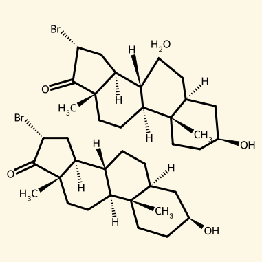 C[C@]12CC[C@H](O)C[C@@H]1CC[C@@H]1[C@@H]2CC[C@]2(C)C(=O)[C@H](Br)C[C@@H]12.C[C@]12CC[C@H](O)C[C@@H]1CC[C@@H]1[C@@H]2CC[C@]2(C)C(=O)[C@H](Br)C[C@@H]12.O